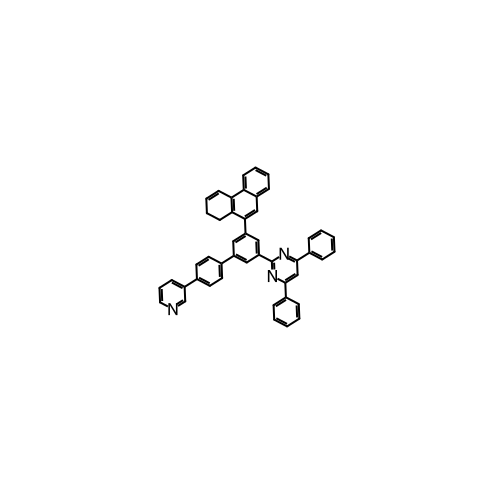 C1=Cc2c(c(-c3cc(-c4ccc(-c5cccnc5)cc4)cc(-c4nc(-c5ccccc5)cc(-c5ccccc5)n4)c3)cc3ccccc23)CC1